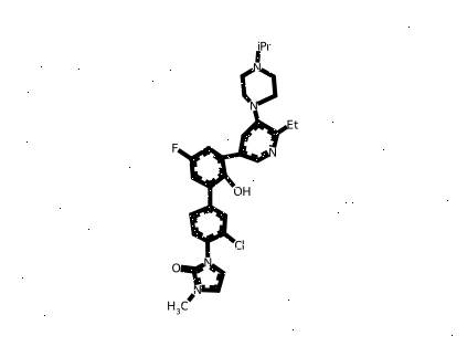 CCc1ncc(-c2cc(F)cc(-c3ccc(-n4ccn(C)c4=O)c(Cl)c3)c2O)cc1N1CCN(C(C)C)CC1